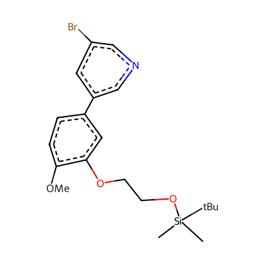 COc1ccc(-c2cncc(Br)c2)cc1OCCO[Si](C)(C)C(C)(C)C